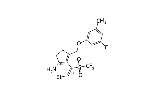 CC/C=C(\C1=C(COc2cc(C)cc(F)c2)CC[C@H]1N)S(=O)(=O)C(F)(F)F